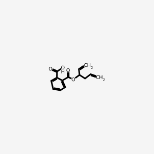 C=CCC(C=C)OC(=O)c1ccccc1C(=O)O